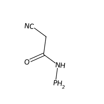 N#CCC(=O)NP